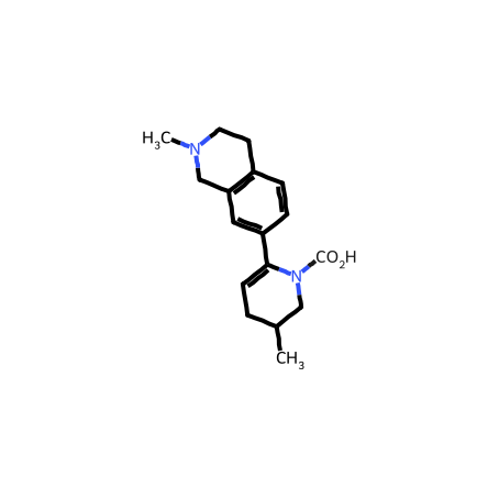 CC1CC=C(c2ccc3c(c2)CN(C)CC3)N(C(=O)O)C1